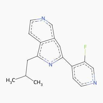 CC(C)Cc1nc(-c2ccncc2F)cc2cnccc12